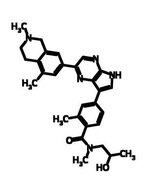 Cc1cc(-c2c[nH]c3ncc(-c4cc(C)c5c(c4)CN(C)CC5)nc23)ccc1C(=O)N(C)CC(C)O